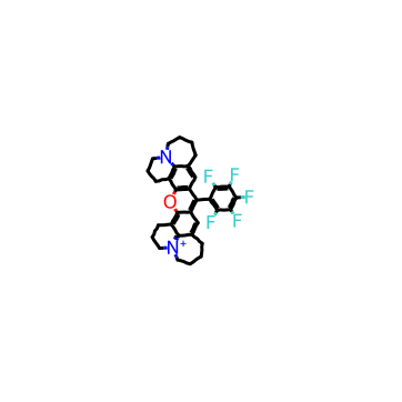 Fc1c(F)c(F)c(C2=c3cc4c5c(c3Oc3c2cc2c6c3CCCN6CCCC2)CCC[N+]=5CCCC4)c(F)c1F